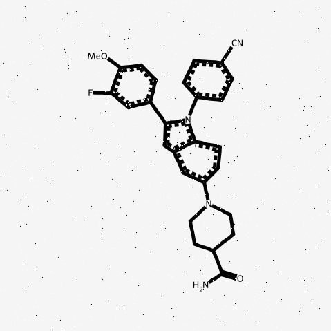 COc1ccc(-c2cc3cc(N4CCC(C(N)=O)CC4)ccc3n2-c2ccc(C#N)cc2)cc1F